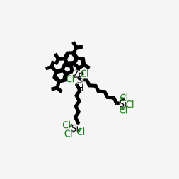 CC1=Cc2c(C(C)C)cc(C(C)C)cc2[CH]1[Zr]([Cl])([Cl])([CH]1C(C)=Cc2c(C(C)C)cc(C(C)C)cc21)[SiH](CCCCCCCC[Si](Cl)(Cl)Cl)CCCCCCCC[Si](Cl)(Cl)Cl